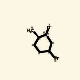 CC(C)C1CC[C@@H](C)[S+]([O-])C1